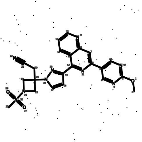 COc1ncc(-c2cc3ncccc3c(-c3ccn(C4(CC#N)CN(S(C)(=O)=O)C4)n3)n2)cn1